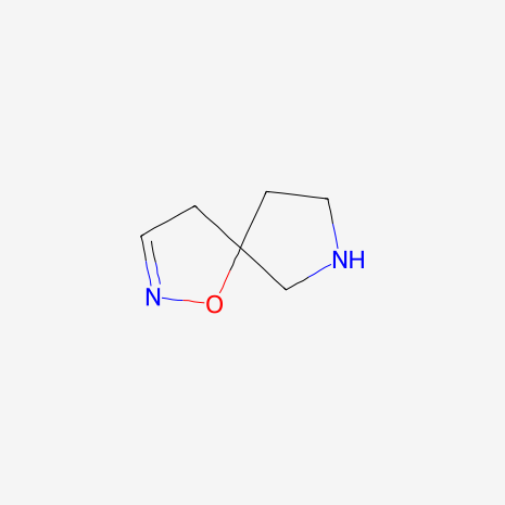 C1=NOC2(C1)CCNC2